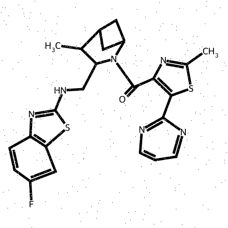 Cc1nc(C(=O)N2C3CC(C3)C(C)C2CNc2nc3ccc(F)cc3s2)c(-c2ncccn2)s1